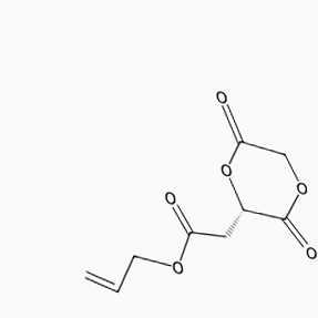 C=CCOC(=O)C[C@@H]1OC(=O)COC1=O